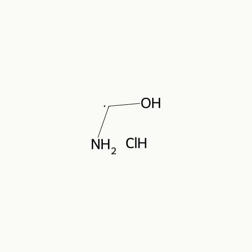 Cl.N[CH]O